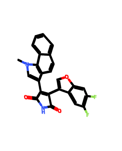 Cn1cc(C2=C(c3coc4cc(F)c(F)cc34)C(=O)NC2=O)c2ccc3ccccc3c21